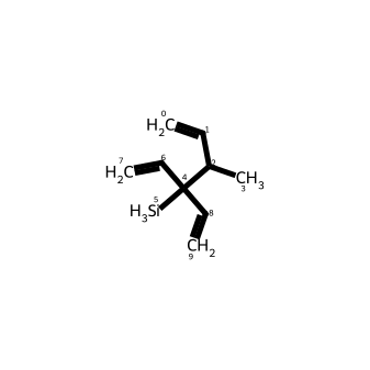 C=CC(C)C([SiH3])(C=C)C=C